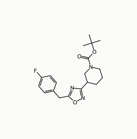 CC(C)(C)OC(=O)N1CCCC(c2noc(Cc3ccc(F)cc3)n2)C1